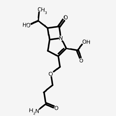 CC(O)C1C(=O)N2C(C(=O)O)=C(COCCC(N)=O)CC12